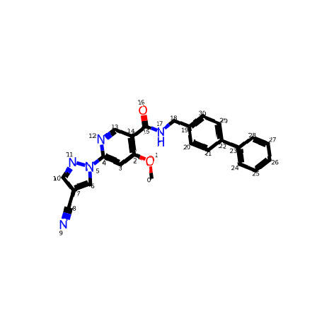 COc1cc(-n2cc(C#N)cn2)ncc1C(=O)NCc1ccc(-c2ccccc2)cc1